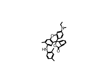 CCN(C)c1ccc2c(c1)Oc1cc(C)c(Nc3ccc(C)cc3C)cc1C21OC(=O)c2ccccc21